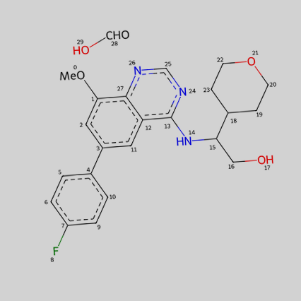 COc1cc(-c2ccc(F)cc2)cc2c(NC(CO)C3CCOCC3)ncnc12.O=CO